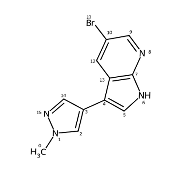 Cn1cc(-c2c[nH]c3ncc(Br)cc23)cn1